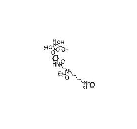 CCC(=O)N(CCCCCCNC(=O)c1ccccc1)CCC(=O)Nc1ccc(OC2OC(CO)C(O)NC2O)cc1